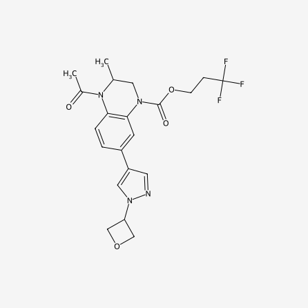 CC(=O)N1c2ccc(-c3cnn(C4COC4)c3)cc2N(C(=O)OCCC(F)(F)F)CC1C